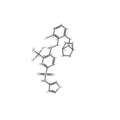 O=S(=O)(Nc1cscn1)c1ccc(NCc2c(F)cccc2CN2C3CCC2CC3)c(C(F)(F)F)n1